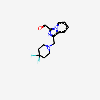 O=Cc1nc(CN2CCC(F)(F)CC2)c2ccccn12